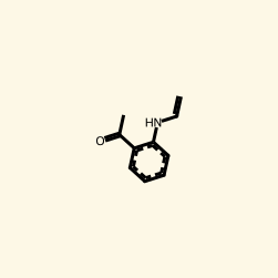 C=CNc1ccccc1C(C)=O